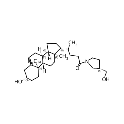 CC(CCC(=O)N1CC[C@H](CO)C1)[C@H]1CC[C@H]2[C@@H]3CC=C4C[C@@H](O)CC[C@]4(C)[C@H]3CC[C@]12C